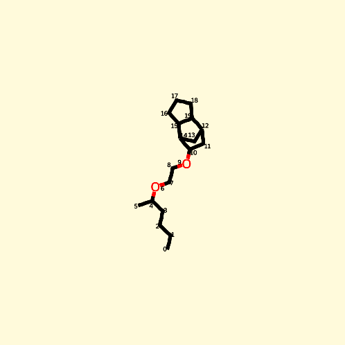 CCCCC(C)OCCOC1CC2CC1C1CCCC21